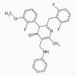 COc1cccc(C2C(=O)C(CNc3ccccc3)=C(C)N=C2Cc2c(F)cccc2F)c1F